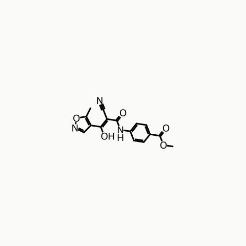 COC(=O)c1ccc(NC(=O)C(C#N)=C(O)c2cnoc2C)cc1